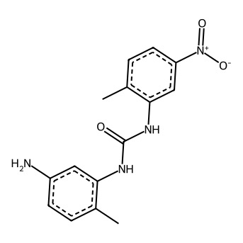 Cc1ccc(N)cc1NC(=O)Nc1cc([N+](=O)[O-])ccc1C